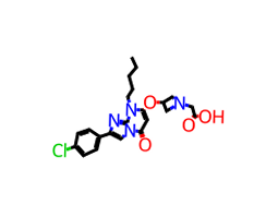 CCCCCn1c(OC2CN(CC(=O)O)C2)cc(=O)n2cc(-c3ccc(Cl)cc3)nc12